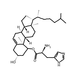 CC(C)CCC[C@@H](C)[C@H]1CC[C@H]2[C@@H]3CC=C4C[C@@H](O)CC(OC(=O)[C@@H](N)Cc5cnc[nH]5)[C@]4(C)[C@H]3CC[C@]12C